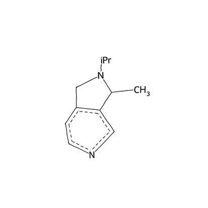 CC(C)N1Cc2ccncc2C1C